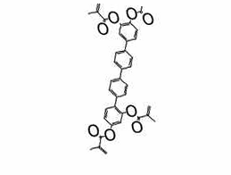 C=C(C)C(=O)Oc1ccc(-c2ccc(-c3ccc(-c4ccc(OC(=O)C(=C)C)c(OC(=O)C(=C)C)c4)cc3)cc2)c(OC(=O)C(=C)C)c1